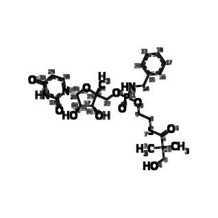 CC(C)(CO)C(=O)SCCOP(=O)(NCc1ccccc1)OC[C@@]1(C)O[C@@H](n2ccc(=O)[nH]c2=O)[C@H](O)[C@@H]1O